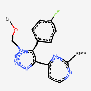 CCOCn1nnc(-c2ccnc(SC)n2)c1-c1ccc(F)cc1